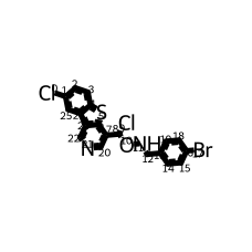 Clc1ccc2sc3c(C(Cl)ONCc4ccc(Br)cc4)cncc3c2c1